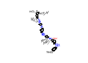 COc1ccc(Nc2ccc3c(O)c(N=Nc4cc(C)c(N=Nc5ccc(N=Nc6ccc(N=Nc7cc8c(S(=O)(=O)O)cc(S(=O)(=O)O)cc8cc7S(=O)(=O)O)c(C)c6)c(C)c5)cc4OC)c(S(=O)(=O)O)cc3c2)cc1